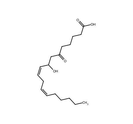 CCCCC/C=C\C/C=C\C(O)CC(=O)CCCCC(=O)O